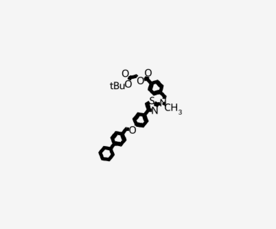 CN(Cc1ccc(C(=O)OCC(=O)OC(C)(C)C)cc1)c1nc(-c2ccc(OCc3ccc(C4CCCCC4)cc3)cc2)cs1